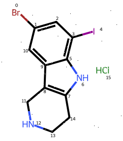 Brc1cc(I)c2[nH]c3c(c2c1)CNCC3.Cl